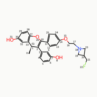 C[C@@H]1C(c2cccc(O)c2)=C(c2ccc(OCCN3CC(CF)C3)cc2)Oc2ccc(O)cc21